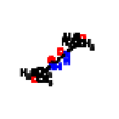 CC(=O)C(C)(C)CCCCNC(=O)CCCC(=O)NCCCCC(C)(C)C(C)=O